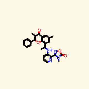 Cc1cc(C(C)Nc2cccnc2-c2noc(=O)n2C)c2oc(-c3ccccc3)c(C)c(=O)c2c1